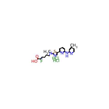 Cc1ccnc(Nc2cccc(-c3cnc(N(C)CCC/C=C(\F)C(=O)O)s3)n2)c1.Cl.Cl